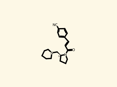 N#Cc1ccc(C=CC(=O)N2CCC[C@H]2CN2CCCCC2)cc1